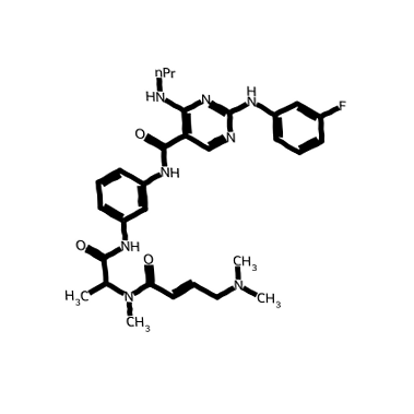 CCCNc1nc(Nc2cccc(F)c2)ncc1C(=O)Nc1cccc(NC(=O)C(C)N(C)C(=O)C=CCN(C)C)c1